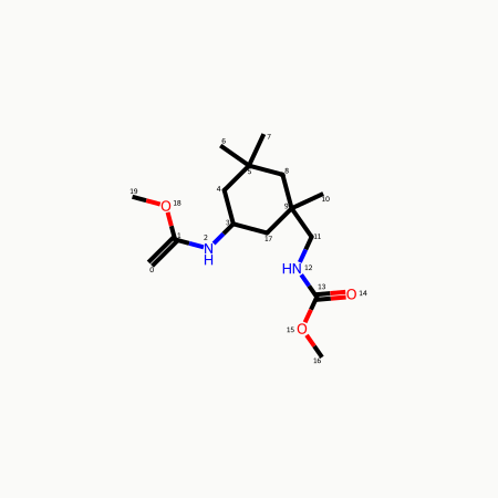 C=C(NC1CC(C)(C)CC(C)(CNC(=O)OC)C1)OC